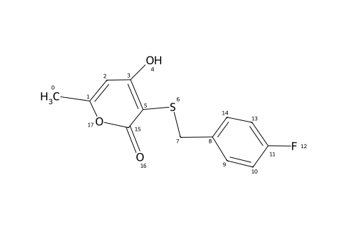 Cc1cc(O)c(SCc2ccc(F)cc2)c(=O)o1